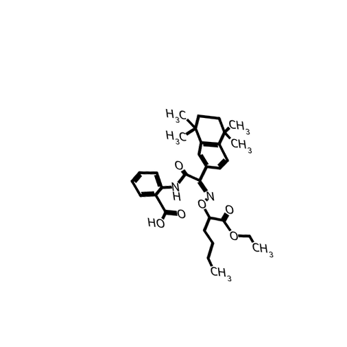 CCCCC(ON=C(C(=O)Nc1ccccc1C(=O)O)c1ccc2c(c1)C(C)(C)CCC2(C)C)C(=O)OCC